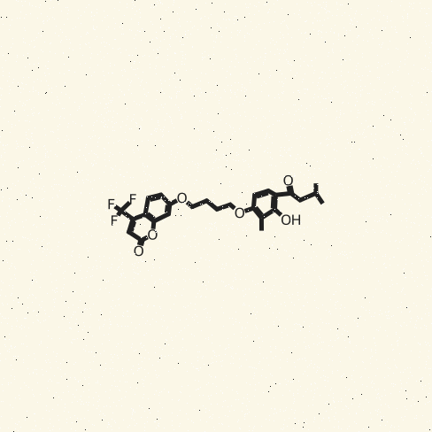 Cc1c(OCCCCOc2ccc3c(C(F)(F)F)cc(=O)oc3c2)ccc(C(=O)CC(C)C)c1O